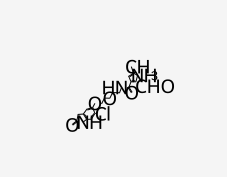 Cc1cc(C(=O)NCCOCCOc2cc3c(cc2Cl)NC(=O)C3)c(C=O)[nH]1